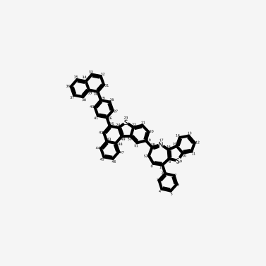 C1=C(c2ccccc2)c2sc3ccccc3c2N=C(c2ccc3sc4c(-c5ccc(-c6cccc7ccccc67)cc5)cc5ccccc5c4c3c2)C1